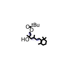 CC1=C(/C=C/C(C)=C/C(C)(O)/C=C/OC(=O)C(C)(C)C)C(C)(C)CCC1